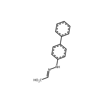 O=C(O)/C=N/Nc1ccc(-c2ccccc2)cc1